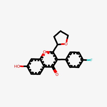 O=c1c(-c2ccc(F)cc2)c(C2CCCO2)oc2cc(O)ccc12